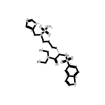 CC(C)CN(CC(C)C)C(=O)[C@H](CCCCN(Cc1cncs1)S(C)(=O)=O)NS(=O)(=O)c1ccc2occc2c1